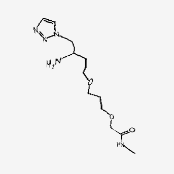 CNC(=O)COCCCOCCC(N)Cn1ccnn1